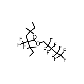 CCC(C)(C)CC(C(=O)OCC(F)(F)C(F)(F)C(F)(F)C(F)(F)F)(C(F)(F)F)C(C)(C)CC